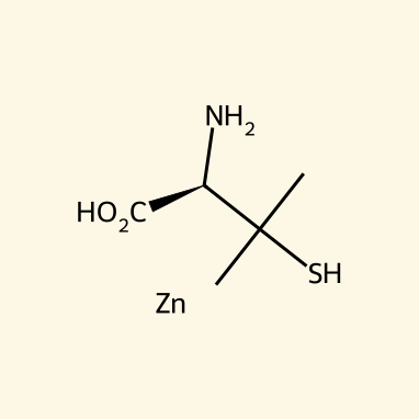 CC(C)(S)[C@H](N)C(=O)O.[Zn]